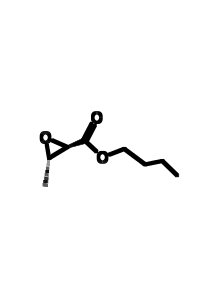 CCCCOC(=O)[C@@H]1O[C@H]1C